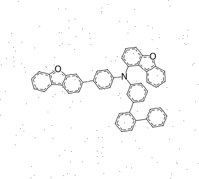 c1ccc(-c2ccccc2-c2cccc(N(c3ccc(-c4ccc5c(c4)oc4ccccc45)cc3)c3cccc4oc5ccccc5c34)c2)cc1